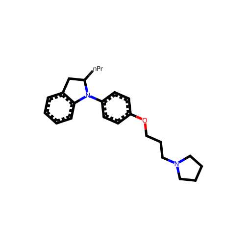 CCCC1Cc2ccccc2N1c1ccc(OCCCN2CCCC2)cc1